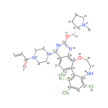 C=CC(=O)N1CCN(c2nc(OC[C@@H]3CCCN3C)nc3c4c(c(Cl)cc23)-c2c(F)c(Cl)cc(Cl)c2NCCO4)CC1